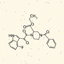 CCOC(=O)C1CN(C(=O)c2ccccc2)CCN1C(=O)C(=O)c1c[nH]c2cccc(F)c12